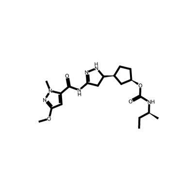 CC[C@H](C)NC(=O)O[C@@H]1CC[C@H](C2CC(NC(=O)c3cc(OC)nn3C)=NN2)C1